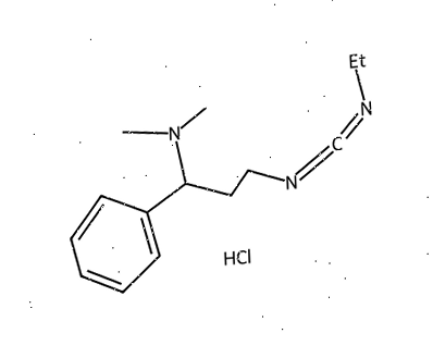 CCN=C=NCCC(c1ccccc1)N(C)C.Cl